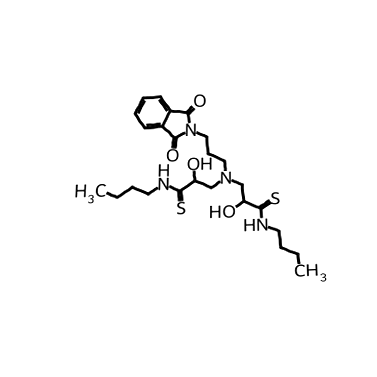 CCCCNC(=S)C(O)CN(CCCN1C(=O)c2ccccc2C1=O)CC(O)C(=S)NCCCC